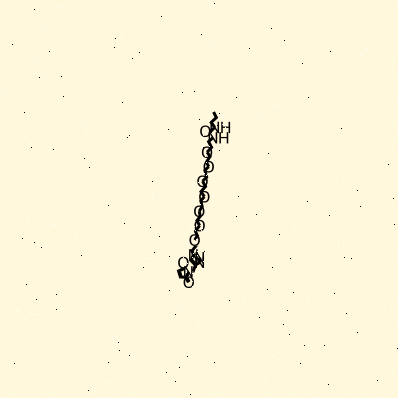 CCCNC(=O)NCCOCCOCCOCCOCCOCCOCCOCCn1cc(CN2C(=O)C=CC2=O)nn1